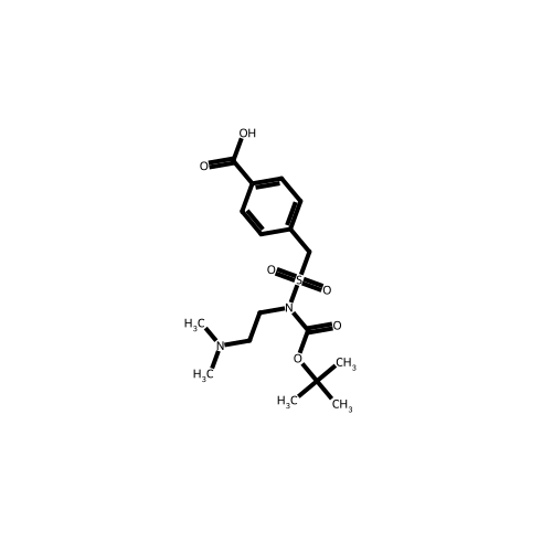 CN(C)CCN(C(=O)OC(C)(C)C)S(=O)(=O)Cc1ccc(C(=O)O)cc1